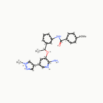 CSc1ccc(C(=O)Nc2cccc(C(C)Oc3cc(-c4cnn(C)c4)cnc3N)c2)cc1